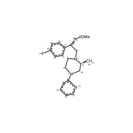 CO/N=C(\CN1CCN(c2ccccn2)C[C@@H]1C)c1ccc(F)cc1